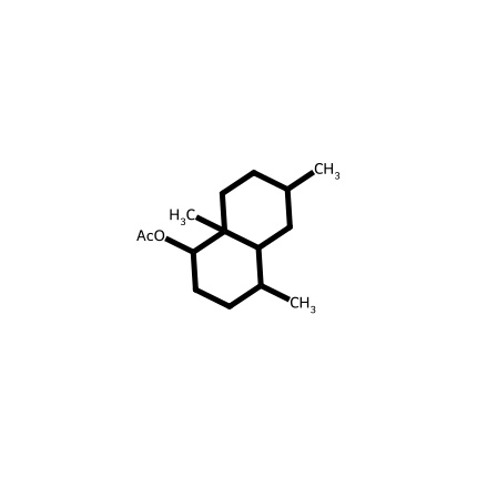 CC(=O)OC1CCC(C)C2CC(C)CCC12C